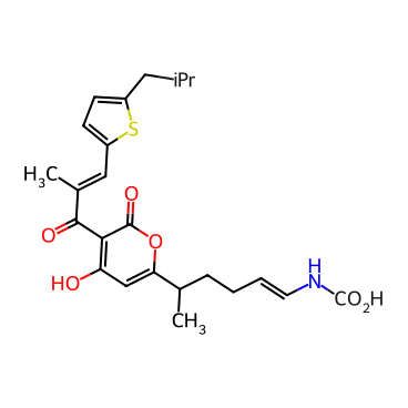 CC(=Cc1ccc(CC(C)C)s1)C(=O)c1c(O)cc(C(C)CCC=CNC(=O)O)oc1=O